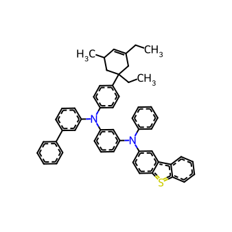 CCC1=CC(C)CC(CC)(c2ccc(N(c3cccc(-c4ccccc4)c3)c3cccc(N(c4ccccc4)c4ccc5sc6ccccc6c5c4)c3)cc2)C1